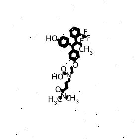 CCC(=C(c1ccc(O)cc1)c1ccc(OCCN(CC=CC(=O)N(C)C)C(=O)O)cc1)c1ccccc1C(F)(F)F